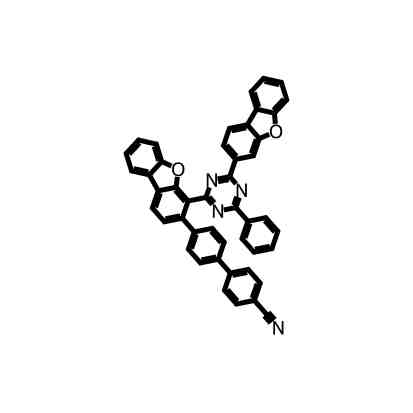 N#Cc1ccc(-c2ccc(-c3ccc4c(oc5ccccc54)c3-c3nc(-c4ccccc4)nc(-c4ccc5c(c4)oc4ccccc45)n3)cc2)cc1